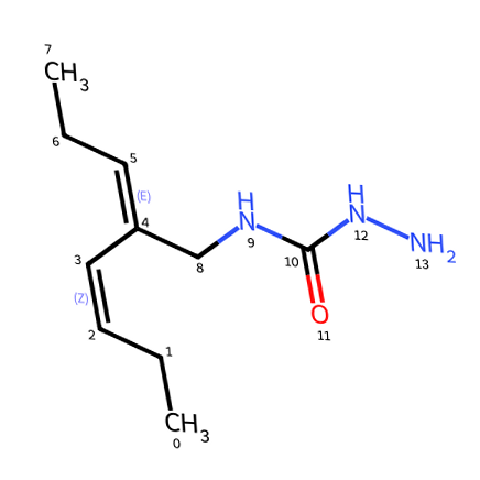 CC/C=C\C(=C/CC)CNC(=O)NN